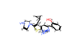 Oc1ccccc1-c1cc2c(C3CC3)c(N3CCNCC3)sc2nn1